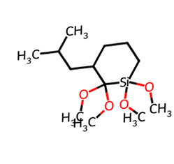 COC1(OC)C(CC(C)C)CCC[Si]1(OC)OC